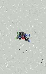 CN(C(=O)c1ccc(C(F)(F)F)nc1)[C@]1(C(=O)c2ccc(C#N)cc2)CNC[C@H]1c1ccc(Cl)c(Cl)c1